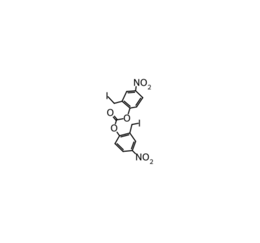 O=C(Oc1ccc([N+](=O)[O-])cc1CI)Oc1ccc([N+](=O)[O-])cc1CI